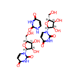 O=c1cc[nH]c(=O)[nH]1.O=c1ccn([C@@H]2O[C@H](CO)[C@@H](O)[C@H]2O)c(=O)[nH]1.O=c1ccn([C@@H]2O[C@H](CO)[C@@H](O)[C@H]2O)c(=O)[nH]1